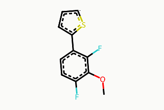 COc1c(F)ccc(-c2cc[c]s2)c1F